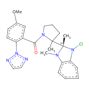 COc1ccc(-n2nccn2)c(C(=O)N2CCCC2(C)[C@@]2(C)N(C)c3ccccc3N2Cl)c1